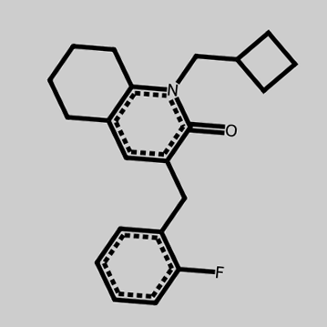 O=c1c(Cc2ccccc2F)cc2c(n1CC1CCC1)CCCC2